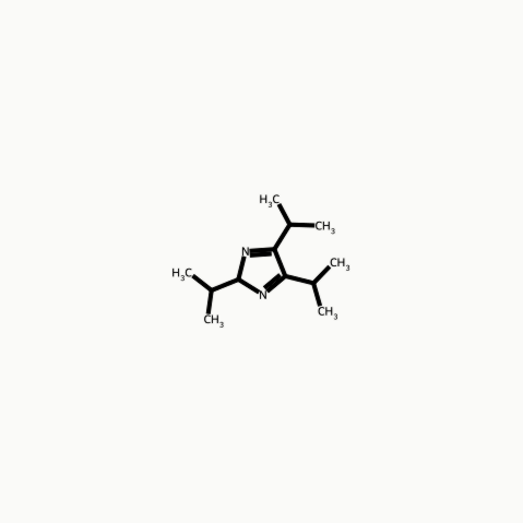 CC(C)C1=NC(C(C)C)N=C1C(C)C